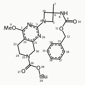 COc1nc(N2CC(C)(NC(=O)OCc3ccccc3)C2)nc2c1CCN(C(=O)OC(C)(C)C)C2